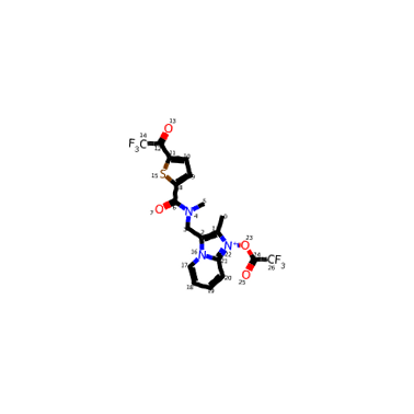 Cc1c(CN(C)C(=O)c2ccc(C(=O)C(F)(F)F)s2)n2ccccc2[n+]1OC(=O)C(F)(F)F